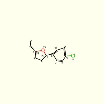 CC[C@@H]1CC[C@H](c2ccc(Cl)cc2)O1